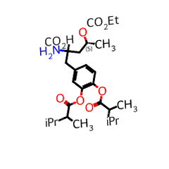 CCOC(=O)O[C@@H](C)CC(N)(Cc1ccc(OC(=O)C(C)C(C)C)c(OC(=O)C(C)C(C)C)c1)C(=O)O